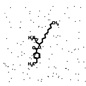 CCCCCCCCCC(COC)OC(=O)c1ccc(CC)cc1